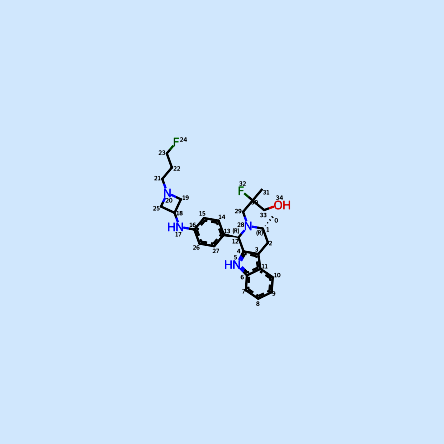 C[C@@H]1Cc2c([nH]c3ccccc23)[C@@H](c2ccc(NC3CN(CCCF)C3)cc2)N1CC(C)(F)CO